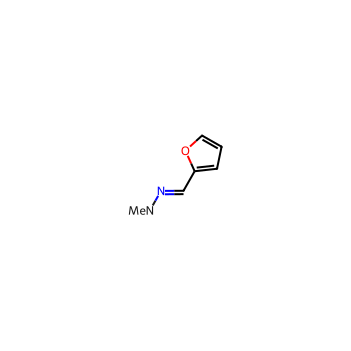 CN/N=C/c1ccco1